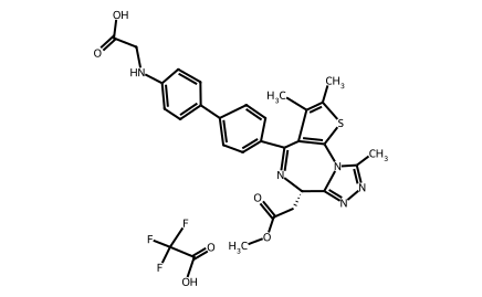 COC(=O)C[C@@H]1N=C(c2ccc(-c3ccc(NCC(=O)O)cc3)cc2)c2c(sc(C)c2C)-n2c(C)nnc21.O=C(O)C(F)(F)F